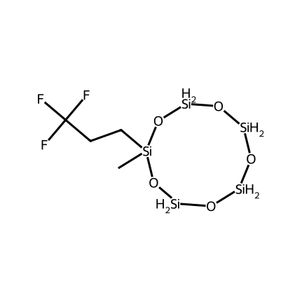 C[Si]1(CCC(F)(F)F)O[SiH2]O[SiH2]O[SiH2]O[SiH2]O1